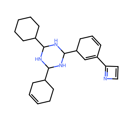 C1=CCC(C2NC(C3C=C(C4=NC=C4)C=CC3)NC(C3CCCCC3)N2)CC1